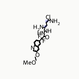 COCCOc1cnc2ccc(C(F)(F)C(=O)NN/C(N)=C/C=C(\N)Cl)cc2c1